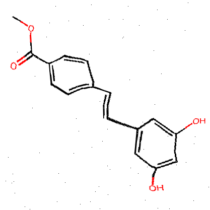 COC(=O)c1ccc(/C=C/c2cc(O)cc(O)c2)cc1